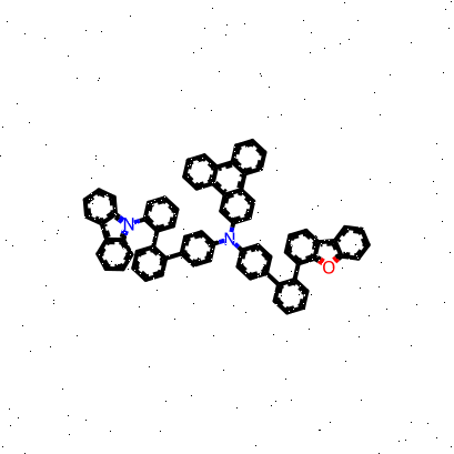 c1ccc(-c2ccccc2-n2c3ccccc3c3ccccc32)c(-c2ccc(N(c3ccc(-c4ccccc4-c4cccc5c4oc4ccccc45)cc3)c3ccc4c5ccccc5c5ccccc5c4c3)cc2)c1